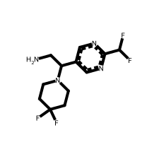 NCC(c1cnc(C(F)F)nc1)N1CCC(F)(F)CC1